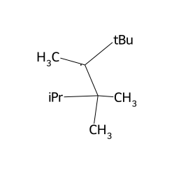 C[C](C(C)(C)C)C(C)(C)C(C)C